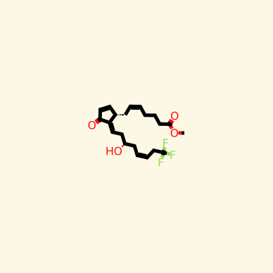 COC(=O)CCC/C=C\C[C@H]1C=CC(=O)/C1=C/C[C@@H](O)C/C=C\CC(F)(F)F